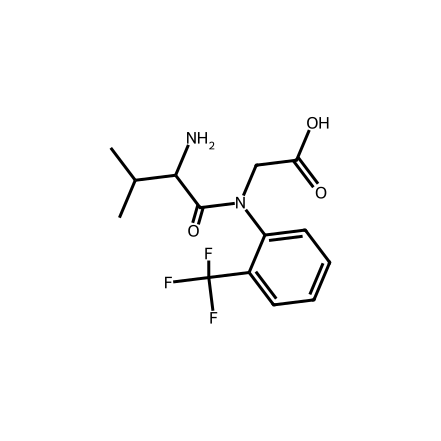 CC(C)C(N)C(=O)N(CC(=O)O)c1ccccc1C(F)(F)F